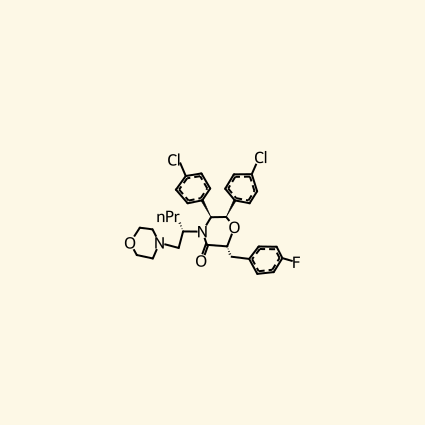 CCC[C@@H](CN1CCOCC1)N1C(=O)[C@@H](Cc2ccc(F)cc2)O[C@H](c2ccc(Cl)cc2)[C@@H]1c1ccc(Cl)cc1